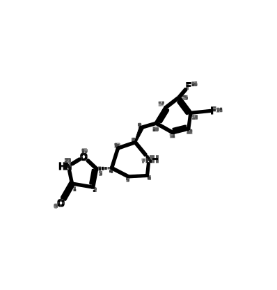 O=c1cc([C@H]2CCN[C@H](Cc3ccc(F)c(F)c3)C2)o[nH]1